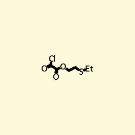 CCSCCOC(=O)C(=O)Cl